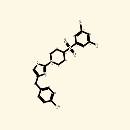 CCCc1ccc(Cc2csc(N3CCC(S(=O)(=O)c4cc(Cl)cc(Cl)c4)CC3)n2)cc1